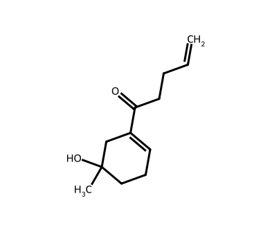 C=CCCC(=O)C1=CCCC(C)(O)C1